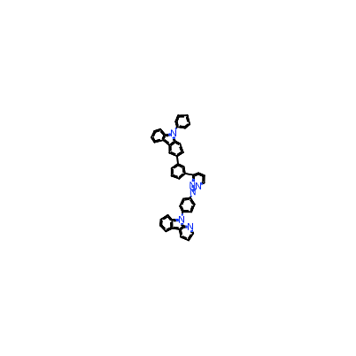 c1ccc(-n2c3ccccc3c3cc(-c4cccc(-c5cccn6n(-c7ccc(-n8c9ccccc9c9cccnc98)cc7)n56)c4)ccc32)cc1